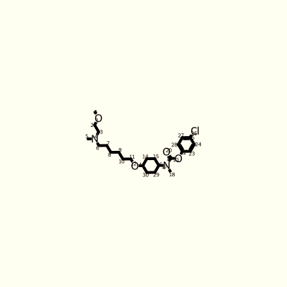 COCCN(C)CCCCCCOC1CCC(N(C)C(=O)Oc2ccc(Cl)cc2)CC1